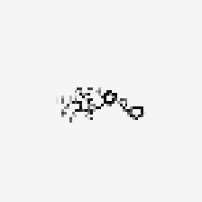 CC(C(=O)OCc1cccc(OCc2ccccc2)c1)[C@@H](N)S(=O)(=O)O